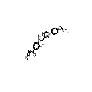 CN=[N+]=NC(=O)c1ccc(NCc2ncn(-c3ccc(OC(F)(F)F)cc3)n2)c(F)c1